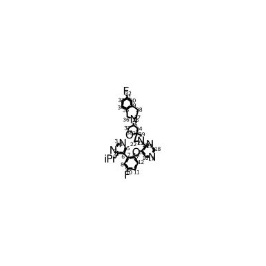 CC(C)c1ncncc1-c1cc(F)ccc1Oc1cncnc1N1CC2(CC(N3CCc4cc(F)ccc4C3)CO2)C1